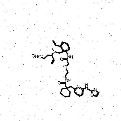 C=Cc1cccc(NC(=O)COCCNC(=O)C2(Cc3cccc(Nc4nccs4)n3)CCCCC2)c1CN(C)C(C=C)CCC=O